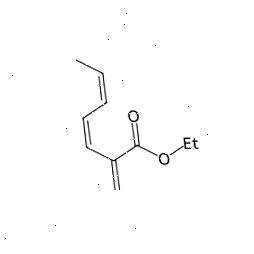 C=C(/C=C\C=C/C)C(=O)OCC